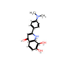 CN(C)c1ccc(-c2cc(=O)c3ccc(O)c(O)c3[nH]2)cc1